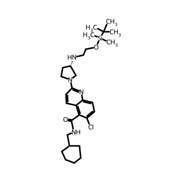 CC(C)(C)[Si](C)(C)OCCN[C@H]1CCN(c2ccc3c(C(=O)NCC4CCCCC4)c(Cl)ccc3n2)C1